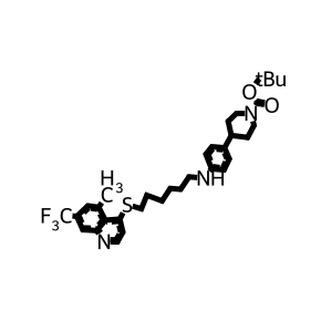 Cc1cc(C(F)(F)F)cc2nccc(SCCCCCCNc3ccc(C4CCN(C(=O)OC(C)(C)C)CC4)cc3)c12